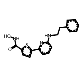 O=C(NO)c1ccc(-c2cccc(NCCc3ccccc3)n2)s1